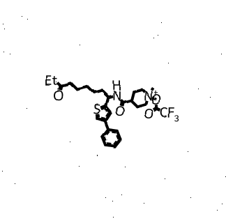 CCC(=O)CCCCCC(NC(=O)C1CC[N+](C)(OC(=O)C(F)(F)F)CC1)c1cc(-c2ccccc2)cs1